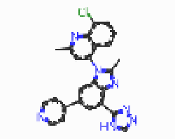 Cc1cc(-n2c(C)nc3c(-c4nnc[nH]4)cc(-c4ccncc4)cc32)c2cccc(Cl)c2n1